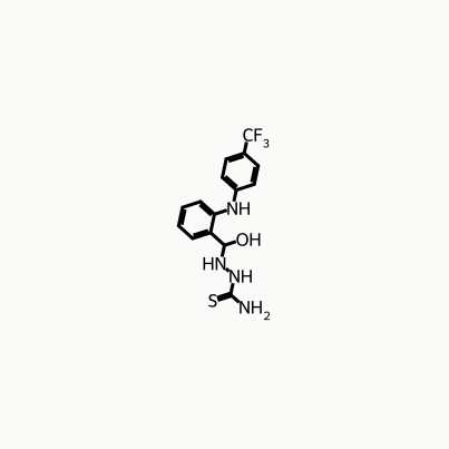 NC(=S)NNC(O)c1ccccc1Nc1ccc(C(F)(F)F)cc1